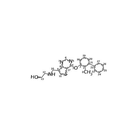 Cc1c(Oc2ncnc3c(CNCCO)csc23)cccc1-c1ccccc1